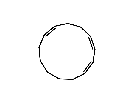 [CH]1CCC=CC=CCCC=CCC1